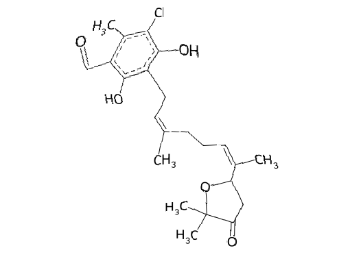 CC(=CCc1c(O)c(Cl)c(C)c(C=O)c1O)CCC=C(C)C1CC(=O)C(C)(C)O1